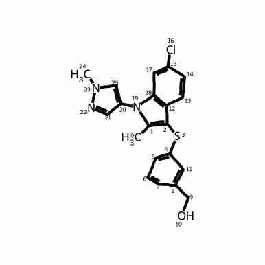 Cc1c(Sc2cccc(CO)c2)c2ccc(Cl)cc2n1-c1cnn(C)c1